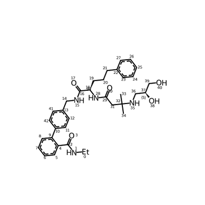 CCNC(=O)c1ccccc1-c1ccc(CNC(=O)[C@@H](CCCc2ccccc2)NC(=O)CC(C)(C)NC[C@H](O)CO)cc1